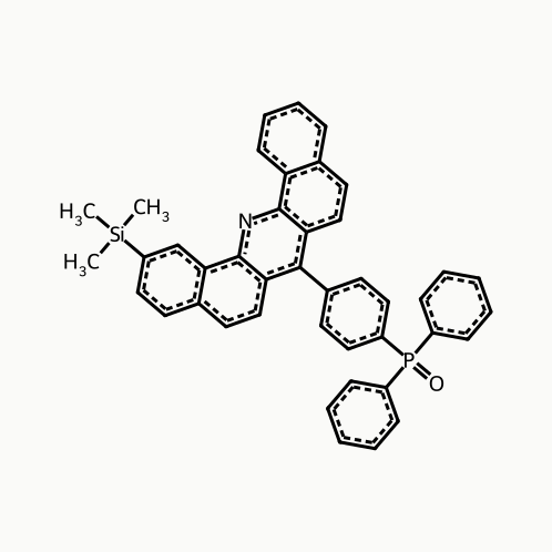 C[Si](C)(C)c1ccc2ccc3c(-c4ccc(P(=O)(c5ccccc5)c5ccccc5)cc4)c4ccc5ccccc5c4nc3c2c1